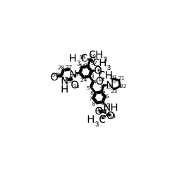 COc1c(/C=C/c2ccc(NS(C)(=O)=O)cc2C(=O)N2CCCC2)cc(-n2ccc(=O)[nH]c2=O)cc1C(C)(C)C